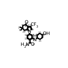 CC1(C)CC(=O)c2c(C(F)(F)F)cn(-c3ccc(C(N)=O)c(NC4CCC(O)CC4)c3)c2C1